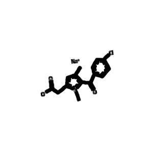 Cc1cc(CC(=O)[O-])n(C)c1C(=O)c1ccc(Cl)cc1.[Na+]